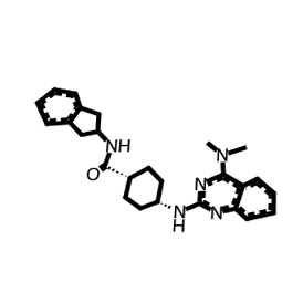 CN(C)c1nc(N[C@H]2CC[C@@H](C(=O)NC3Cc4ccccc4C3)CC2)nc2ccccc12